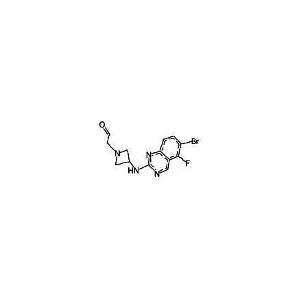 O=CCN1CC(Nc2ncc3c(F)c(Br)ccc3n2)C1